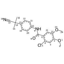 COc1cc(Cl)c(C(=O)Nc2ccc(C(C)(C)C#N)cc2)cc1OC